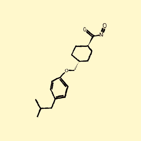 CC(C)Cc1ccc(OC[C@H]2CC[C@H](C(=O)N=O)CC2)cc1